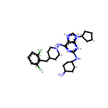 NC1CCC(Nc2nc(NN3CCC(Cc4c(Cl)cccc4Cl)CC3)c3ncn(C4CCCC4)c3n2)CC1